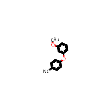 CCCCOc1cccc(Oc2ccc(C#N)cc2)c1